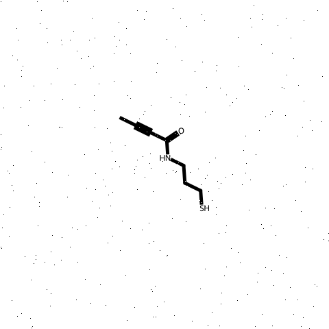 CC#CC(=O)NCCCS